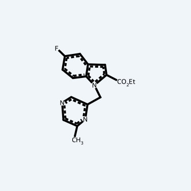 CCOC(=O)c1cc2cc(F)ccc2n1Cc1cncc(C)n1